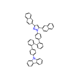 c1ccc(-c2ccccc2-c2ccc(-n3c4ccccc4c4ccccc43)cc2)c(-c2ccc(-n3nc(-c4ccc5ccccc5c4)cc3-c3ccc4ccccc4c3)cc2)c1